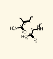 C/C=C(\C)C(N)=O.CNCC(=O)O